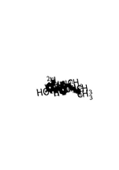 [2H]C([2H])=C1CC[C@H](O)CC1=C([2H])C=C1CCC[C@]2(C)[C@@H]([C@H](C)CCCC(C)C)CC[C@@H]12